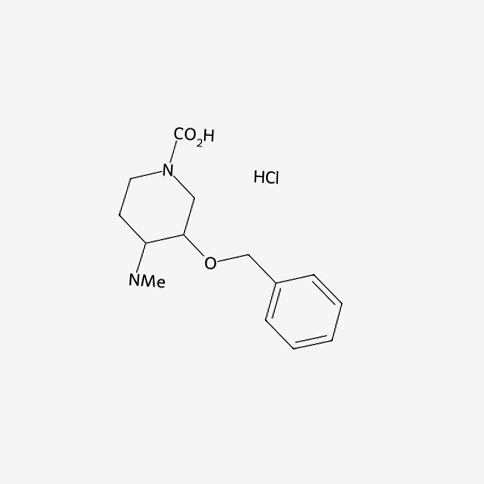 CNC1CCN(C(=O)O)CC1OCc1ccccc1.Cl